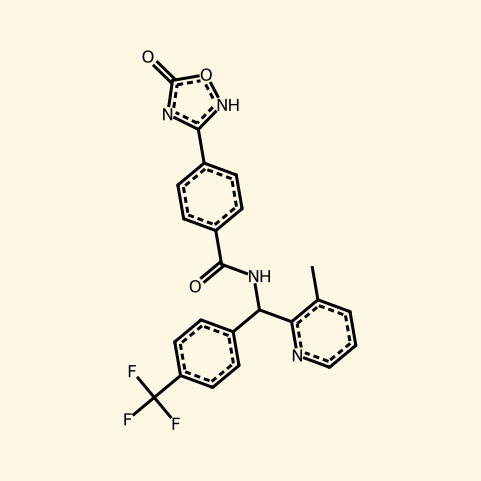 Cc1cccnc1C(NC(=O)c1ccc(-c2nc(=O)o[nH]2)cc1)c1ccc(C(F)(F)F)cc1